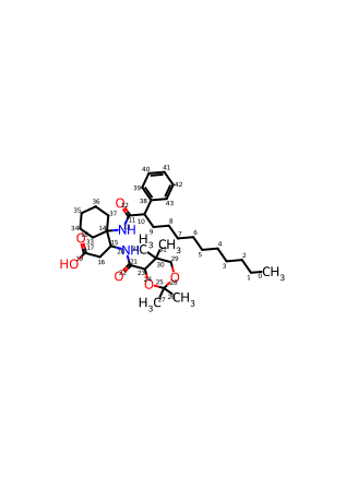 CCCCCCCCCCC(C(=O)NC1(C(CC(=O)O)NC(=O)C2OC(C)(C)OCC2(C)C)CCCCC1)c1ccccc1